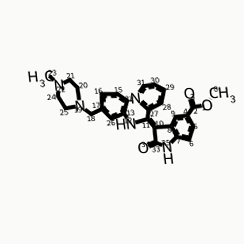 COC(=O)c1ccc2c(c1)/C(=C(/Nc1cccc(CN3CCN(C)CC3)c1)c1ccccn1)C(=O)N2